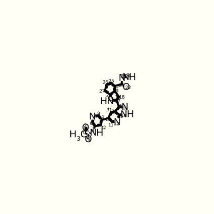 CS(=O)(=O)Nc1cncc(-c2cnc3[nH]nc(-c4cc5c(C(=O)N=N)cccc5[nH]4)c3c2)c1